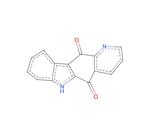 O=C1c2cccnc2C(=O)c2c1[nH]c1ccccc21